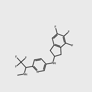 CNC(c1ccc(NC2Cc3cc(F)c(F)c(F)c3C2)cn1)C(F)(F)F